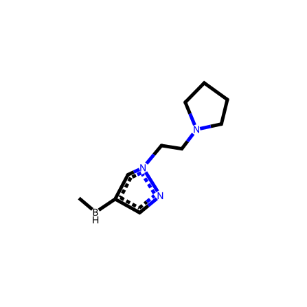 CBc1cnn(CCN2CCCC2)c1